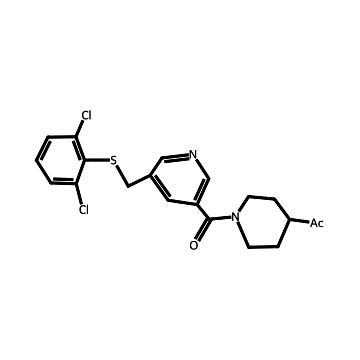 CC(=O)C1CCN(C(=O)c2cncc(CSc3c(Cl)cccc3Cl)c2)CC1